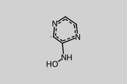 ONc1[c]nccn1